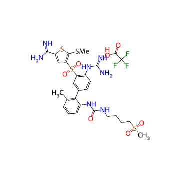 CSc1sc(C(=N)N)cc1S(=O)(=O)c1cc(-c2c(C)cccc2NC(=O)NCCCCS(C)(=O)=O)ccc1NC(=N)N.O=C(O)C(F)(F)F